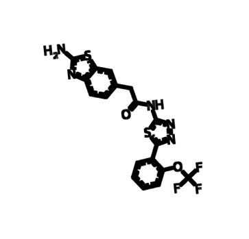 Nc1nc2ccc(CC(=O)Nc3nnc(-c4ccccc4OC(F)(F)F)s3)cc2s1